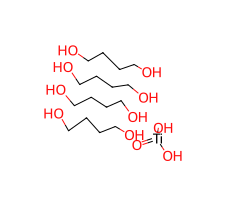 OCCCCO.OCCCCO.OCCCCO.OCCCCO.[O]=[Ti]([OH])[OH]